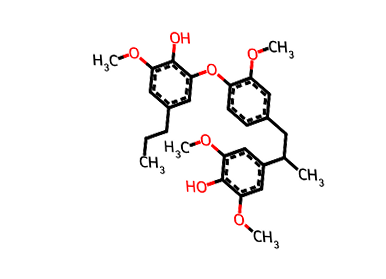 CCCc1cc(OC)c(O)c(Oc2ccc(CC(C)c3cc(OC)c(O)c(OC)c3)cc2OC)c1